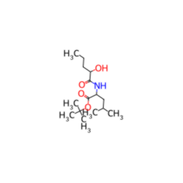 CCCC(O)C(=O)NC(CC(C)C)C(=O)OC(C)(C)C